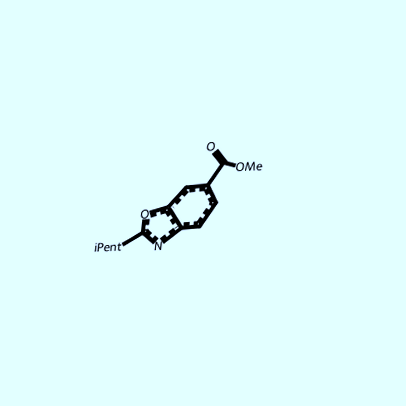 CCCC(C)c1nc2ccc(C(=O)OC)cc2o1